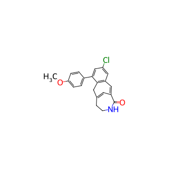 COc1ccc(-c2cc(Cl)cc3c2CC2=CC(=C3)C(=O)NCC2)cc1